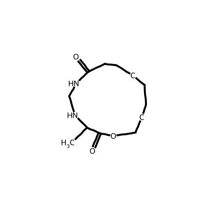 CC1NCNC(=O)CCCCCCCOC1=O